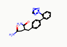 NC(=O)CC(Cc1ccc(-c2ccccc2-n2ncnn2)cc1)C(N)=O